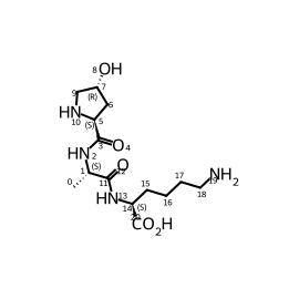 C[C@H](NC(=O)[C@@H]1C[C@@H](O)CN1)C(=O)N[C@@H](CCCCN)C(=O)O